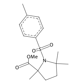 COC(=O)C1(C)CCC(C)(C)N1S(=O)(=O)c1ccc(C)cc1